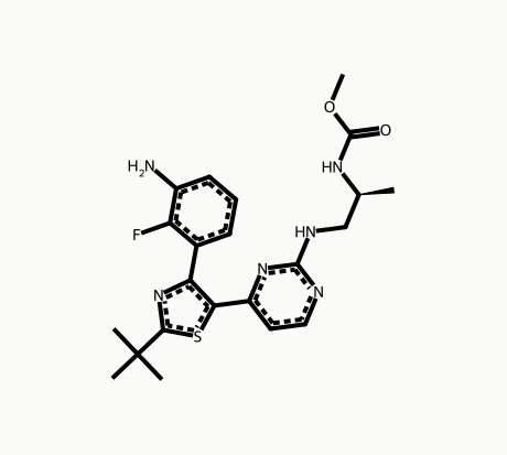 COC(=O)N[C@@H](C)CNc1nccc(-c2sc(C(C)(C)C)nc2-c2cccc(N)c2F)n1